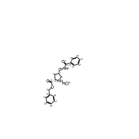 Cl.O=C(NO[C@H]1CN[C@H](C(=O)OCc2ccccc2)C1)c1ccccc1